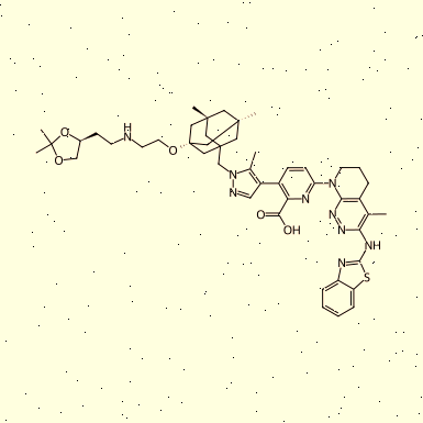 Cc1c(Nc2nc3ccccc3s2)nnc2c1CCCN2c1ccc(-c2cnn(CC34C[C@@]5(C)C[C@@](C)(C3)C[C@@](OCCNCC[C@H]3COC(C)(C)O3)(C4)C5)c2C)c(C(=O)O)n1